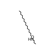 CCCCCCCCCCCCCCCONCCC